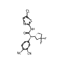 N#Cc1ccc([C@@H](C(=O)Nc2ncc(Cl)s2)[C@@H]2CCC(F)(F)C2)cc1C#N